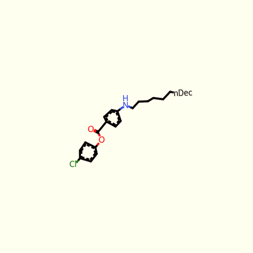 CCCCCCCCCCCCCCCCNc1ccc(C(=O)Oc2ccc(Cl)cc2)cc1